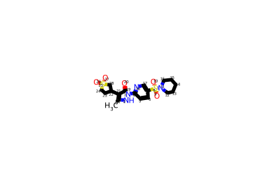 Cc1[nH]n(-c2ccc(S(=O)(=O)N3CCCCC3)cn2)c(=O)c1C1CCS(=O)(=O)C1